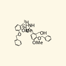 [2H]C([2H])(Cc1cccc(OCc2ccccc2)c1OC)NC(=O)Cc1ccc(OC)c(OCc2ccccc2)c1CO